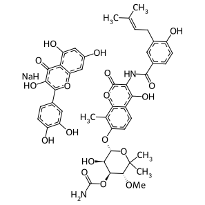 CO[C@@H]1[C@@H](OC(N)=O)[C@@H](O)[C@H](Oc2ccc3c(O)c(NC(=O)c4ccc(O)c(CC=C(C)C)c4)c(=O)oc3c2C)OC1(C)C.O=c1c(O)c(-c2ccc(O)c(O)c2)oc2cc(O)cc(O)c12.[NaH]